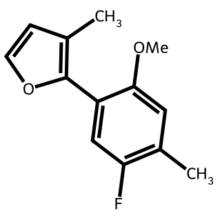 COc1cc(C)c(F)cc1-c1occc1C